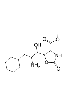 COC(=O)C1NC(=O)OC1C(O)C(N)CC1CCCCC1